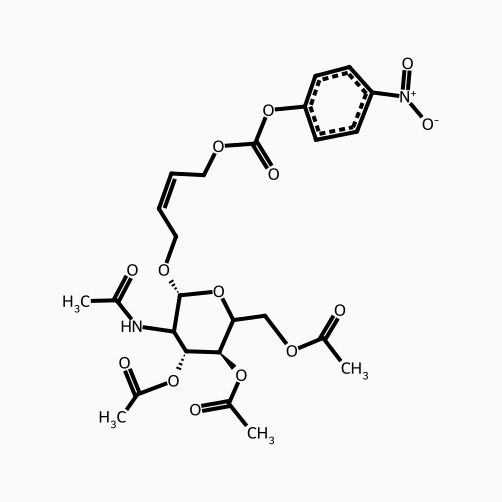 CC(=O)NC1[C@H](OC/C=C\COC(=O)Oc2ccc([N+](=O)[O-])cc2)OC(COC(C)=O)[C@@H](OC(C)=O)[C@@H]1OC(C)=O